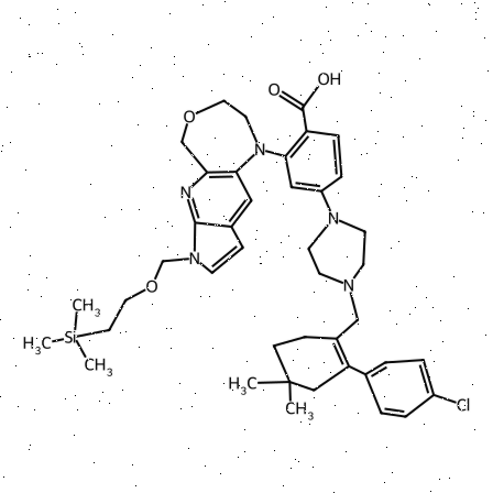 CC1(C)CCC(CN2CCN(c3ccc(C(=O)O)c(N4CCOCc5nc6c(ccn6COCC[Si](C)(C)C)cc54)c3)CC2)=C(c2ccc(Cl)cc2)C1